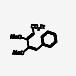 CCOC(=O)C=C(OC)C(=Cc1ccccc1)OC